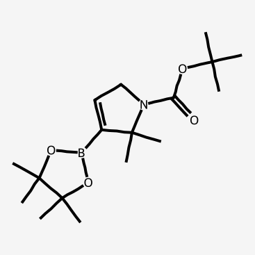 CC(C)(C)OC(=O)N1CC=C(B2OC(C)(C)C(C)(C)O2)C1(C)C